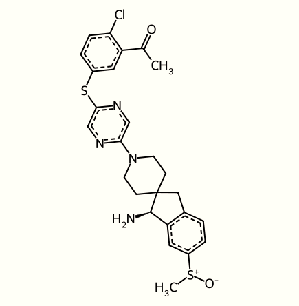 CC(=O)c1cc(Sc2cnc(N3CCC4(CC3)Cc3ccc([S+](C)[O-])cc3[C@H]4N)cn2)ccc1Cl